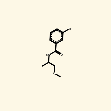 COCC(C)NC(=O)c1cccc(Br)c1